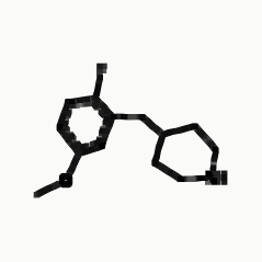 COc1ccc(F)c(CC2CCNCC2)c1